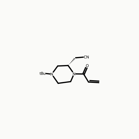 C=CC(=O)N1CCN(C(C)(C)C)C[C@@H]1CC#N